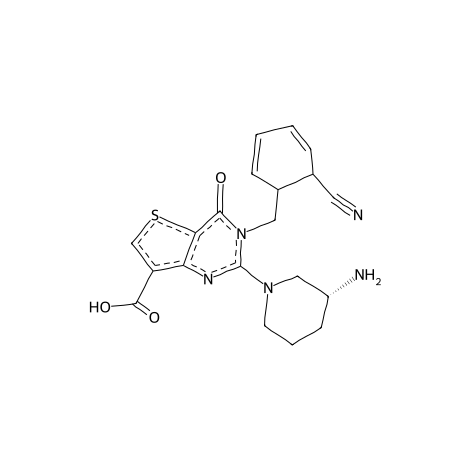 N#CC1C=CC=CC1Cn1c(N2CCC[C@@H](N)C2)nc2c(C(=O)O)csc2c1=O